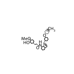 COc1ccc(C=CC(=O)Nc2cccc3ccn(Cc4cccc(OC5CCN(C)CC5)c4)c23)cc1O